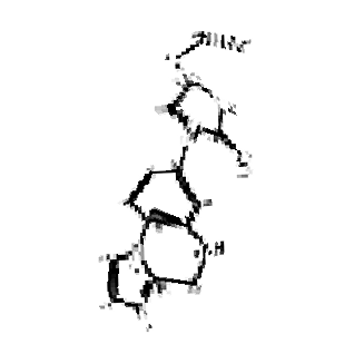 CC(=O)NC[C@H]1CN(c2ccc3c(c2)NCC2=NC=C[N+]23)C(=O)O1